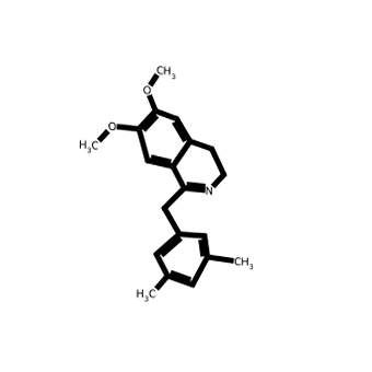 COc1cc2c(cc1OC)C(Cc1cc(C)cc(C)c1)=NCC2